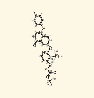 Cc1ccc(Cn2cnc(=O)c3cc(Oc4nccc(OCC(=O)OC(C)(C)C)c4C(F)(F)F)ccc32)cc1